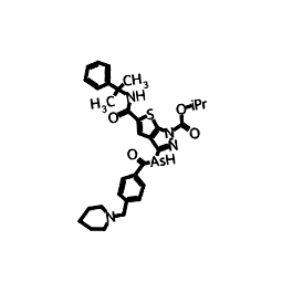 CC(C)OC(=O)n1nc([AsH]C(=O)c2ccc(CN3CCCCC3)cc2)c2cc(C(=O)NC(C)(C)c3ccccc3)sc21